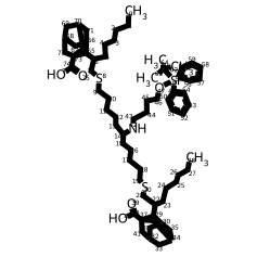 CCCCCCC(CSCCCCCC(CCCCCSCC(CCCCCC)C1C2CC3CC(C2)CC1(C(=O)O)C3)NCCCCO[Si](c1ccccc1)(c1ccccc1)C(C)(C)C)C1C2CC3CC(C2)CC1(C(=O)O)C3